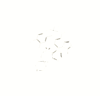 Cc1ccc([C@@H](c2ccn3c(C(F)(F)F)nnc3c2C)C(C)(C)C(=O)O)cc1CN1CC2(CCNCC2)Oc2ncccc2S1(=O)=O